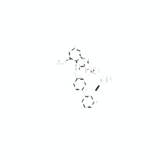 CC#Cc1ccccc1-c1ccc(Cn2c(OCC)nc3cccc(C(C)=O)c32)cc1